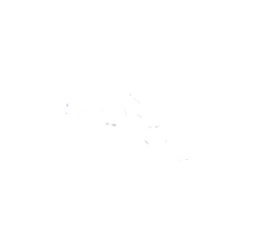 COc1ccc(-n2cnc3cc(-c4cncs4)ccc32)cc1